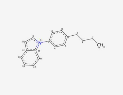 CCCCc1ccc(-n2ccc3ccccc32)cc1